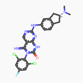 CN(C)[C@@H]1Cc2ccc(Nc3ncc4c(=N)n(-c5c(Cl)cc(F)cc5Cl)c(=O)[nH]c4n3)cc2C1